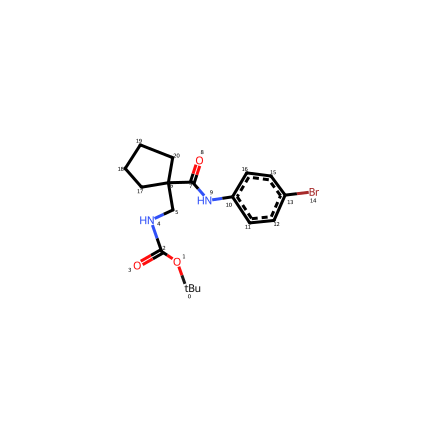 CC(C)(C)OC(=O)NCC1(C(=O)Nc2ccc(Br)cc2)CCCC1